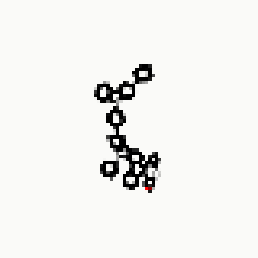 c1ccc(-c2ccc3c(c2)c2ccccc2n3-c2ccc(-c3ccc4c(c3)c3ccc5c(c3n4-c3ccccc3)-c3ccccc3C53c4ccccc4Oc4ccccc43)cc2)cc1